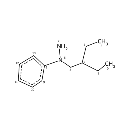 CCC(CC)CN(N)c1ccccc1